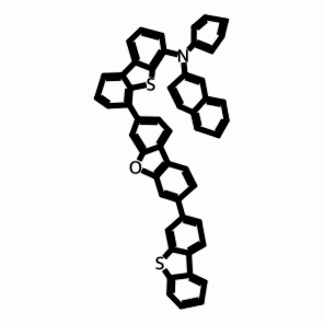 c1ccc(N(c2ccc3ccccc3c2)c2cccc3c2sc2c(-c4ccc5c(c4)oc4cc(-c6ccc7c(c6)sc6ccccc67)ccc45)cccc23)cc1